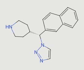 c1ccc2cc([C@@H](C3CCNCC3)n3ccnn3)ccc2c1